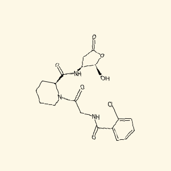 O=C1C[C@H](NC(=O)[C@@H]2CCCCN2C(=O)CNC(=O)c2ccccc2Cl)[C@H](O)O1